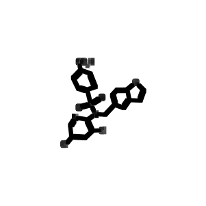 O=C(O)c1ccc(S(=O)(=O)N(Cc2ccc3occc3c2)c2ncc(Cl)cc2Cl)cc1